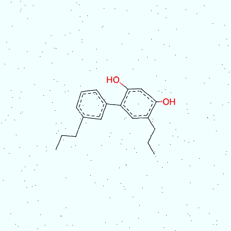 CCCc1cccc(-c2cc(CCC)c(O)cc2O)c1